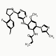 C=CC(=O)Nc1cc(Nc2cc(N3OCCC3c3ccc(F)cc3F)ncn2)c(OC)cc1-n1cnc(C)c1